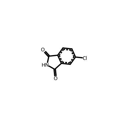 O=C1NC(=O)c2cc(Cl)ccc21